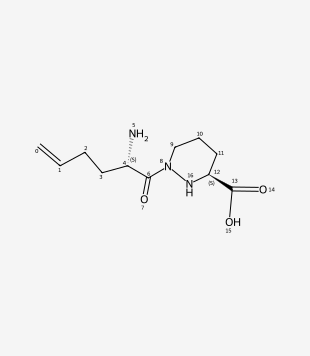 C=CCC[C@H](N)C(=O)N1CCC[C@@H](C(=O)O)N1